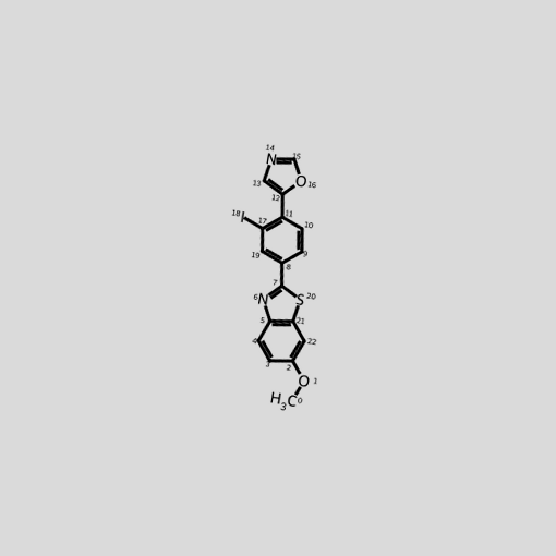 COc1ccc2nc(-c3ccc(-c4cnco4)c(I)c3)sc2c1